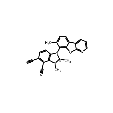 Cc1ccc2c(oc3ncccc32)c1N1c2ccc(C#N)c(C#N)c2N(C)[C@@H]1C